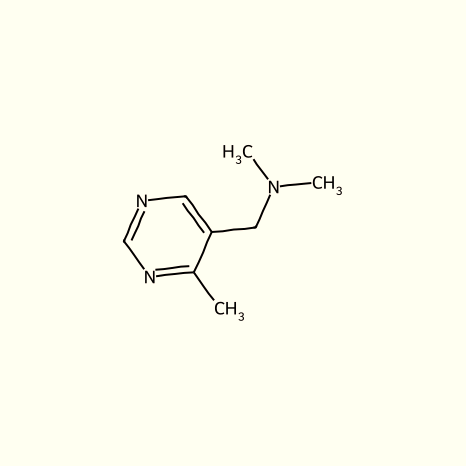 Cc1ncncc1CN(C)C